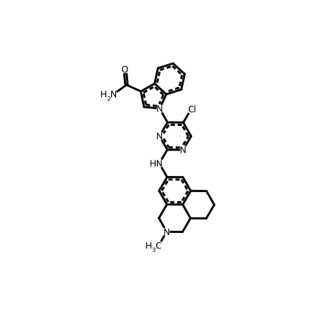 CN1Cc2cc(Nc3ncc(Cl)c(-n4cc(C(N)=O)c5ccccc54)n3)cc3c2C(CCC3)C1